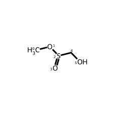 COS(=O)CO